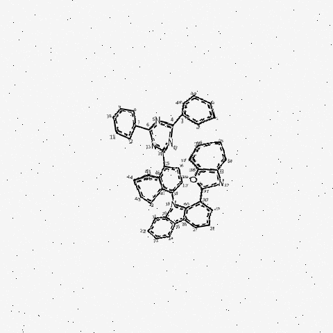 c1ccc(-c2nc(-c3ccccc3)nc(-c3ccc(-n4c5ccccc5c5cccc(-c6nc7ccccc7o6)c54)c4ccccc34)n2)cc1